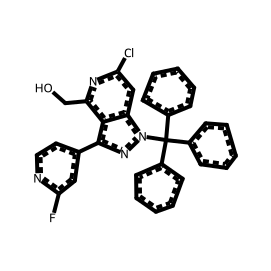 OCc1nc(Cl)cc2c1c(-c1ccnc(F)c1)nn2C(c1ccccc1)(c1ccccc1)c1ccccc1